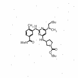 CNC(=O)c1ccc(C)c(Nc2nc(NC3CCN(C(=O)OC(C)(C)C)C3)cc(N(C)CC(C)(C)C)n2)c1